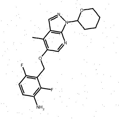 Cc1c(OCc2c(F)ccc(N)c2F)cnc2c1cnn2C1CCCCO1